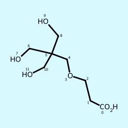 O=C(O)CCOCC(CO)(CO)CO